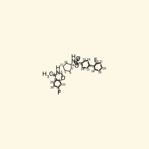 C[C@@H](NC(=O)[C@H]1CC[C@H](NS(=O)(=O)c2ccc(-c3ccccc3F)cc2)CC1)c1ccc(F)cc1